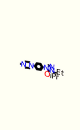 CC[C@@H](C(C)C)n1ncn(-c2ccc(N3CCN(C)CC3)cc2)c1=O